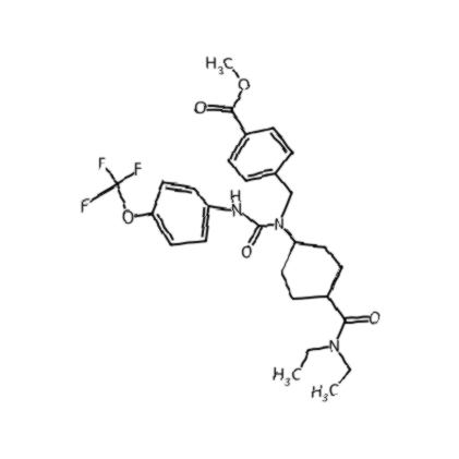 CCN(CC)C(=O)C1CCC(N(Cc2ccc(C(=O)OC)cc2)C(=O)Nc2ccc(OC(F)(F)F)cc2)CC1